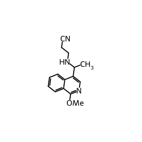 COc1ncc(C(C)NCCC#N)c2ccccc12